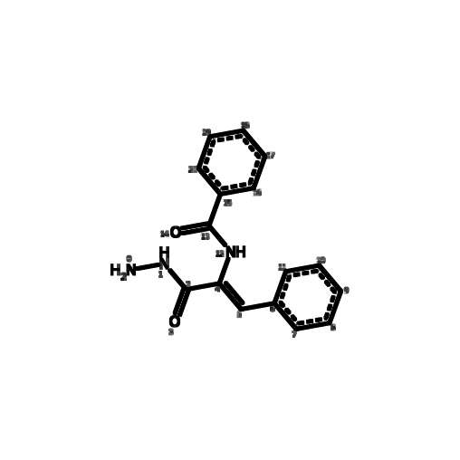 NNC(=O)C(=Cc1ccccc1)NC(=O)c1ccccc1